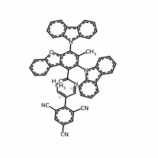 C=C(/N=C\C(=C/C)c1c(C#N)cc(C#N)cc1C#N)c1c(-n2c3ccccc3c3ccccc32)c(C)c(-n2c3ccccc3c3ccccc32)c2oc3ccccc3c12